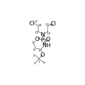 CC(C)(C)OC1CCOP(=O)(N(CCCl)CCCl)N1